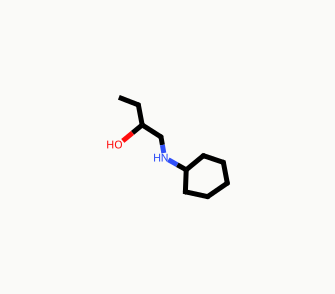 CCC(O)CNC1CCCCC1